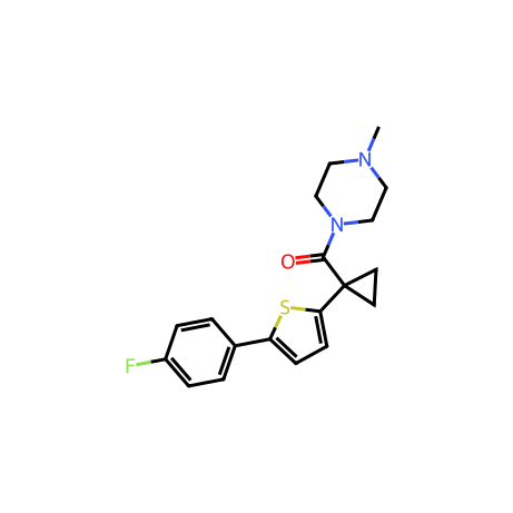 CN1CCN(C(=O)C2(c3ccc(-c4ccc(F)cc4)s3)CC2)CC1